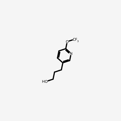 OCCCc1ccc(OC(F)(F)F)nc1